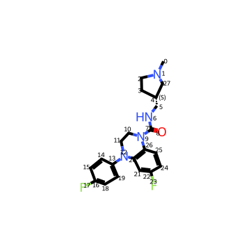 CN1CC[C@@H](CNC(=O)N2CCN(c3ccc(F)cc3)c3cc(F)ccc32)C1